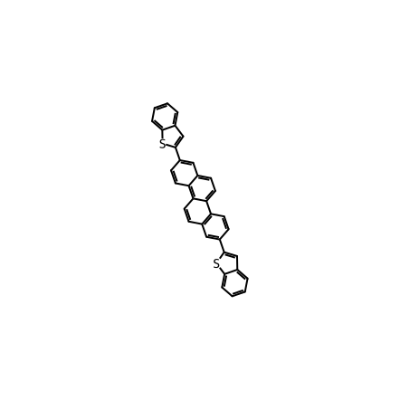 c1ccc2sc(-c3ccc4c(ccc5c6ccc(-c7cc8ccccc8s7)cc6ccc45)c3)cc2c1